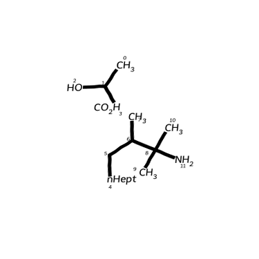 CC(O)C(=O)O.CCCCCCCCC(C)C(C)(C)N